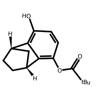 CC(C)(C)C(=O)Oc1ccc(O)c2c1[C@@H]1CC[C@H]2C1